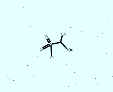 CC(C)(C)C(C#N)S(=O)(=O)Cl